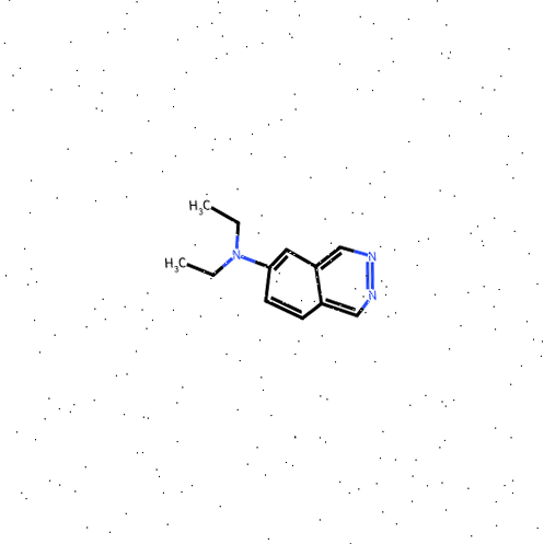 CCN(CC)c1ccc2cnncc2c1